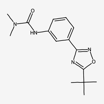 CN(C)C(=O)Nc1cccc(-c2noc(C(C)(C)C)n2)c1